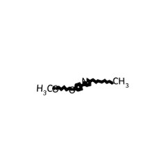 CCCCCCCCCc1ccc(-c2ccc(OCCCCCOCC)cc2)nc1